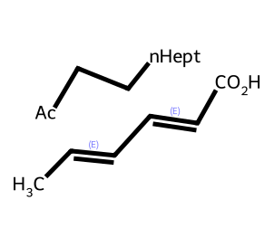 C/C=C/C=C/C(=O)O.CCCCCCCCCC(C)=O